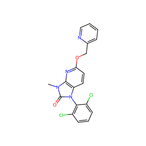 Cn1c(=O)n(-c2c(Cl)cccc2Cl)c2ccc(OCc3ccccn3)nc21